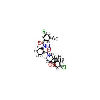 CC(=O)c1cc(F)cc(C(=O)N[C@@H]2CCCC[C@@H]2C(=O)N2CC[C@](O)(c3ccc(Cl)cc3)C(C)(C)C2)c1